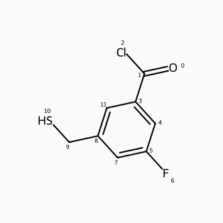 O=C(Cl)c1cc(F)cc(CS)c1